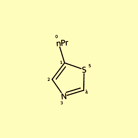 CCCc1cn[c]s1